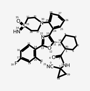 N#CC1(NC(=O)[C@@H]2CCCC[C@H]2c2oc(-c3ccc(F)cc3F)nc2-c2ccccc2N2CCS(=N)(=O)CC2)CC1